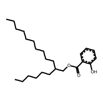 CCCCCCCCCCC(CCCCCC)COC(=O)c1ccccc1O